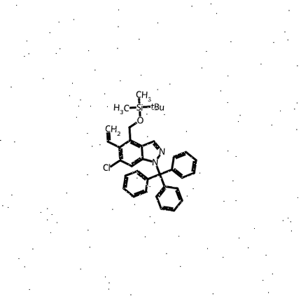 C=Cc1c(Cl)cc2c(cnn2C(c2ccccc2)(c2ccccc2)c2ccccc2)c1CO[Si](C)(C)C(C)(C)C